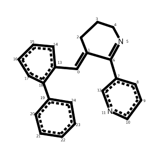 C(=C1CCCN=C1c1cccnc1)c1ccccc1-c1ccccc1